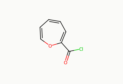 O=C(Cl)C1=CC=CC=CO1